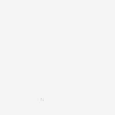 NCCCc1cccc(C#Cc2ccsc2)c1